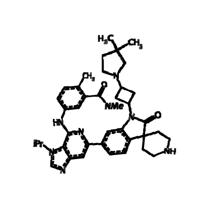 CNC(=O)c1cc(Nc2nc(-c3ccc4c(c3)N(C3CC(N5CCC(C)(C)C5)C3)C(=O)C43CCNCC3)cc3ncn(C(C)C)c23)ccc1C